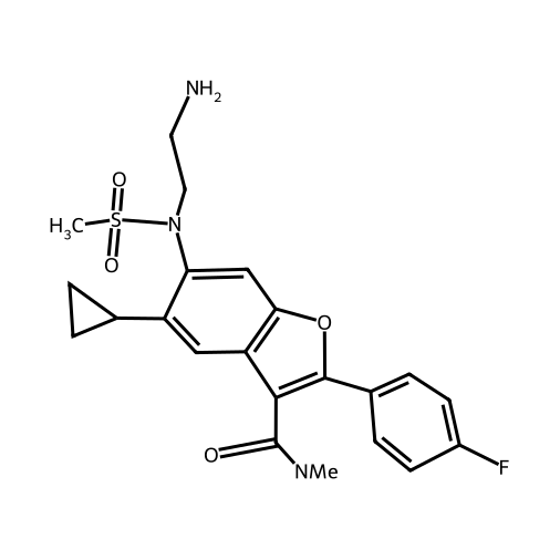 CNC(=O)c1c(-c2ccc(F)cc2)oc2cc(N(CCN)S(C)(=O)=O)c(C3CC3)cc12